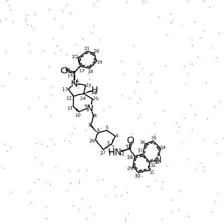 O=C(N[C@H]1CC[C@H](CCN2CCC3CN(C(=O)c4ccccc4)C[C@@H]3C2)CC1)c1cccc2ncccc12